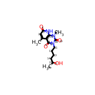 Cc1cc(=O)[nH]c2c1c(=O)n(CCCCC(C)O)c(=O)n2C